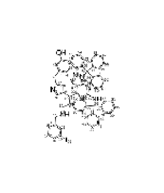 Oc1cccc(Cn2cc(C(CCNCc3cccc(I)c3)c3cc(NC(c4ccccc4)(c4ccccc4)c4ccccc4)nc4c3nnn4C(c3ccccc3)(c3ccccc3)c3ccccc3)cn2)c1